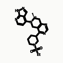 CCS(=O)(=O)N1CCCC(c2ncnc3c2CN(c2ccnc4[nH]ncc24)[C@H](C)C3)C1